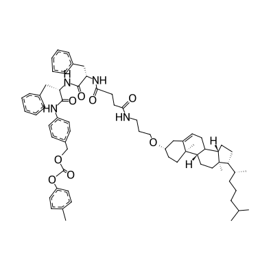 Cc1ccc(OC(=O)OCc2ccc(NC(=O)[C@H](Cc3ccccc3)NC(=O)[C@H](Cc3ccccc3)NC(=O)CCC(=O)NCCCO[C@H]3CC[C@@]4(C)C(=CCC5[C@@H]6CC[C@H]([C@H](C)CCCC(C)C)[C@@]6(C)CC[C@@H]54)C3)cc2)cc1